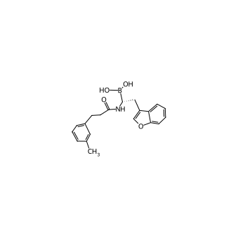 Cc1cccc(CCC(=O)N[C@@H](Cc2coc3ccccc23)B(O)O)c1